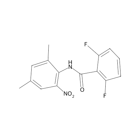 Cc1cc(C)c(NC(=O)c2c(F)cccc2F)c([N+](=O)[O-])c1